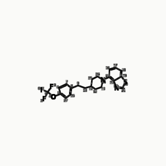 FC(F)(F)Oc1ccc(CCC2CCN(c3cccc4s[c]nc34)CC2)cc1